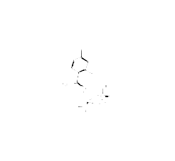 CCS(CC)=P(O)(ON=C(C#N)c1ccc(Cl)cc1F)OP(O)(O)=S